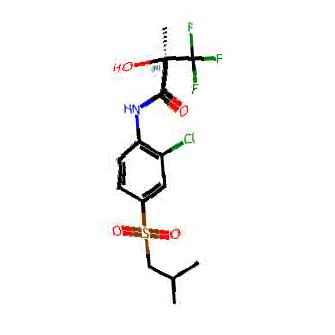 CC(C)CS(=O)(=O)c1ccc(NC(=O)[C@@](C)(O)C(F)(F)F)c(Cl)c1